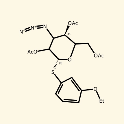 CCOc1cccc(S[C@H]2OC(COC(C)=O)[C@H](OC(C)=O)C(N=[N+]=[N-])C2OC(C)=O)c1